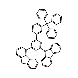 c1ccc(C(c2ccccc2)(c2ccccc2)c2cccc(-c3nc(-c4cccc5sc6ccccc6c45)nc(-n4c5ccccc5c5ccccc54)n3)c2)cc1